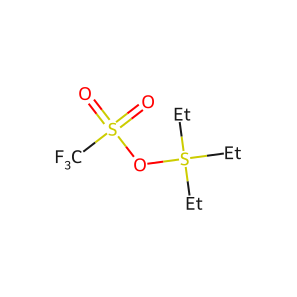 CCS(CC)(CC)OS(=O)(=O)C(F)(F)F